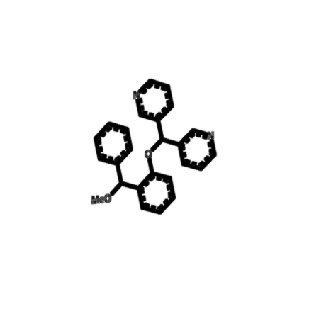 COC(c1ccccc1)c1ccccc1OC(c1cccnc1)c1cccnc1